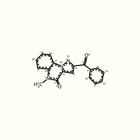 Cn1c(=O)c2cc(C(=O)c3ccccc3)nn2c2ccccc21